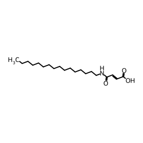 CCCCCCCCCCCCCCCCNC(=O)/C=C/C(=O)O